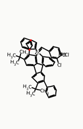 CC(C)(C)c1cc2c(cc1-c1ccccc1)Cc1c-2cc(C(C)(C)C)c(-c2ccccc2)[c]1[Zr](=[CH]c1cccc(Cl)c1)([C]1=CC=CC1)[c]1ccccc1.Cl.Cl